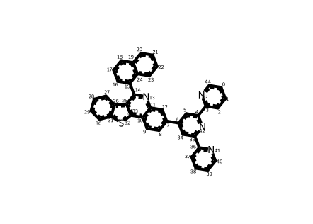 c1ccc(-c2cc(-c3ccc4c(c3)nc(-c3cccc5ccccc35)c3c5ccccc5sc43)cc(-c3ccccn3)n2)nc1